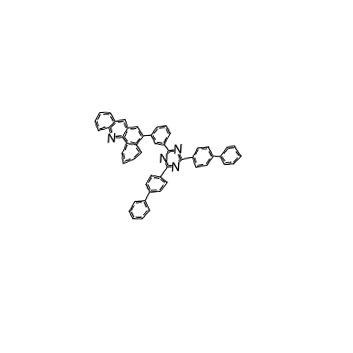 c1ccc(-c2ccc(-c3nc(-c4ccc(-c5ccccc5)cc4)nc(-c4cccc(-c5cc6cc7ccccc7nc6c6ccccc56)c4)n3)cc2)cc1